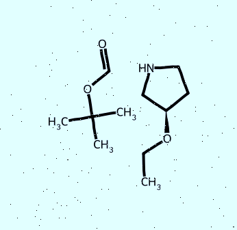 CC(C)(C)OC=O.CCO[C@@H]1CCNC1